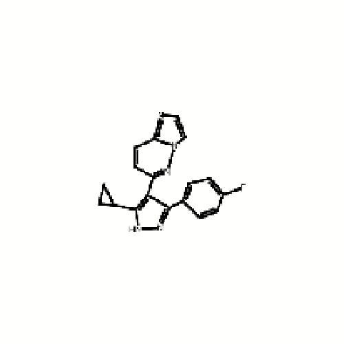 Fc1ccc(-c2n[nH]c(C3CC3)c2-c2ccc3nccn3n2)cc1